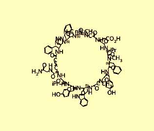 CCCC[C@H]1C(=O)N(C)CC(=O)N[C@@H](CC(=O)O)C(=O)N[C@@H](C(C)C)C(=O)N(C)[C@@H](Cc2ccccc2)C(=O)N[C@@H](Cc2ccc(O)cc2)C(=O)N(C)CC(=O)N[C@@H](Cc2c[nH]c3ccccc23)C(=O)N[C@@H](Cc2ccc(O)cc2)C(=O)N[C@@H](CC(C)C)C(=O)N[C@H](C(=O)NCC(N)=O)CSCC(=O)NC(Cc2ccccc2)c2nnnn2[C@@H](Cc2ccccc2)C(=O)N1C